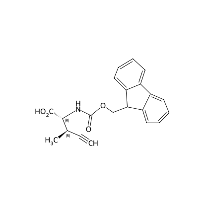 C#C[C@@H](C)[C@@H](NC(=O)OCC1c2ccccc2-c2ccccc21)C(=O)O